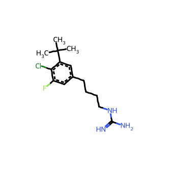 CC(C)(C)c1cc(CCCCNC(=N)N)cc(F)c1Cl